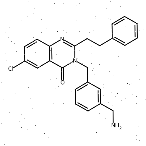 NCc1cccc(Cn2c(CCc3ccccc3)nc3ccc(Cl)cc3c2=O)c1